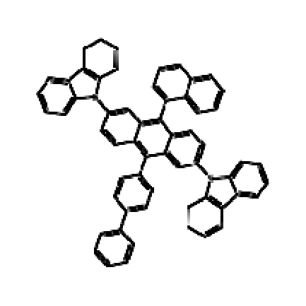 C1=Cc2c(c3ccccc3n2-c2ccc3c(-c4ccc(-c5ccccc5)cc4)c4cc(-n5c6c(c7ccccc75)C=CCC6)ccc4c(-c4cccc5ccccc45)c3c2)CC1